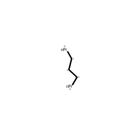 [CH2]CCCCCC[CH]C